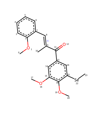 COc1ccccc1/C=C(\C)C(=O)c1cc(OC)c(OC)c([Se]C)c1